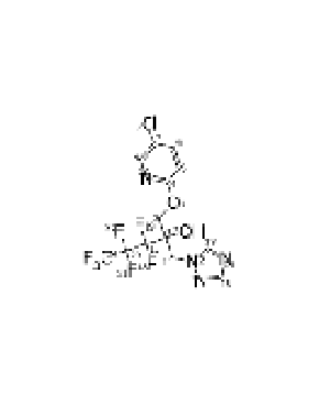 OC(COc1ccc(Cl)cn1)(Cn1cncn1)C(F)(F)C(F)(F)C(F)(F)F